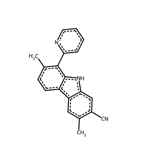 Cc1cc2c(cc1C#N)[nH]c1c(-c3ccccn3)c(C)ccc12